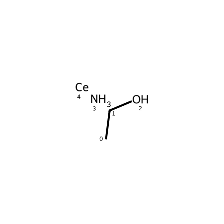 CCO.N.[Ce]